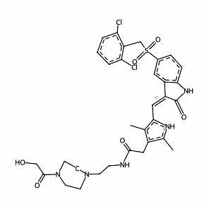 Cc1[nH]c(/C=C2\C(=O)Nc3ccc(S(=O)(=O)Cc4c(Cl)cccc4Cl)cc32)c(C)c1CC(=O)NCCN1CCN(C(=O)CO)CC1